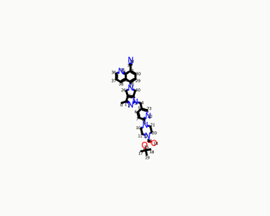 Cc1nn(Cc2ccc(N3CCN(C(=O)OC(C)(C)C)CC3)nc2)c2c1CN(c1ccc(C#N)c3ncccc13)C2